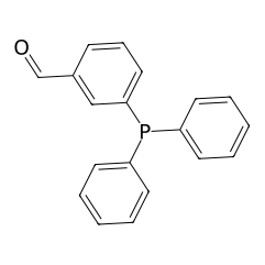 O=Cc1cccc(P(c2ccccc2)c2ccccc2)c1